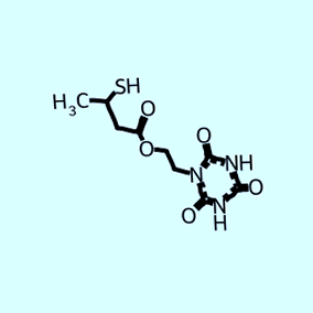 CC(S)CC(=O)OCCn1c(=O)[nH]c(=O)[nH]c1=O